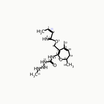 C/C=C\C(=N)OCC1=C(NC(=O)NNNC)OC(C)CC=C1I